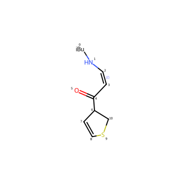 CCC(C)N/C=C\C(=O)C1C=CSC1